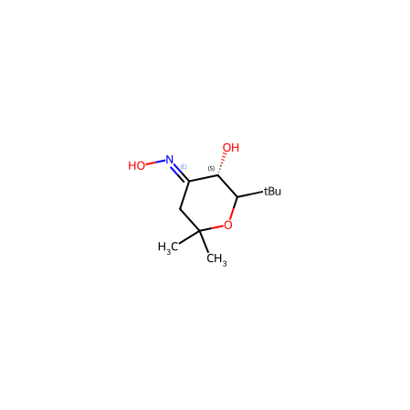 CC1(C)C/C(=N\O)[C@H](O)C(C(C)(C)C)O1